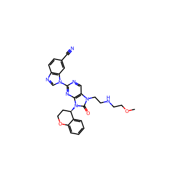 COCCNCCn1c(=O)n([C@@H]2CCOc3ccccc32)c2nc(-n3cnc4ccc(C#N)cc43)ncc21